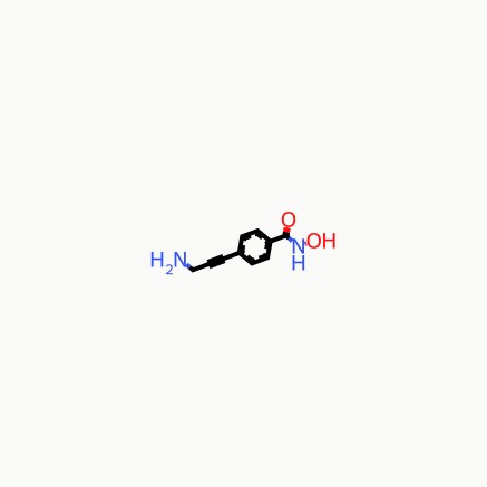 NCC#Cc1ccc(C(=O)NO)cc1